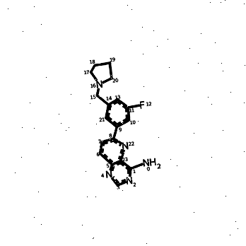 Nc1ncnc2ccc(-c3cc(F)cc(CN4CCCC4)c3)nc12